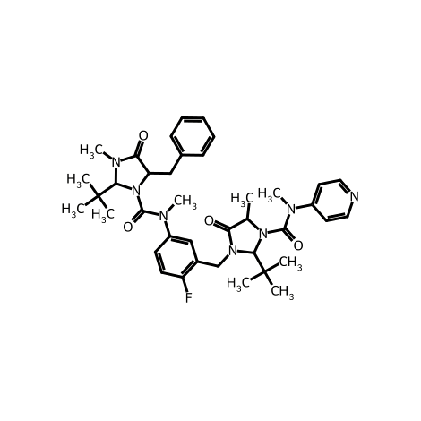 CC1C(=O)N(Cc2cc(N(C)C(=O)N3C(Cc4ccccc4)C(=O)N(C)C3C(C)(C)C)ccc2F)C(C(C)(C)C)N1C(=O)N(C)c1ccncc1